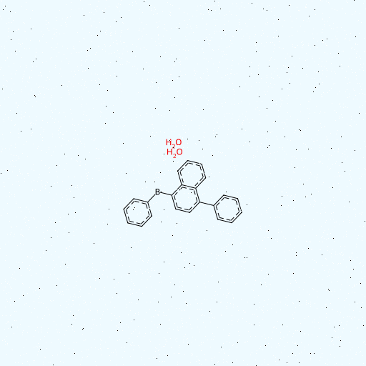 O.O.[B](c1ccccc1)c1ccc(-c2ccccc2)c2ccccc12